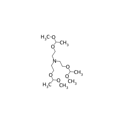 COC(C)OCCN(CCOC(C)OC)CCOC(C)OC